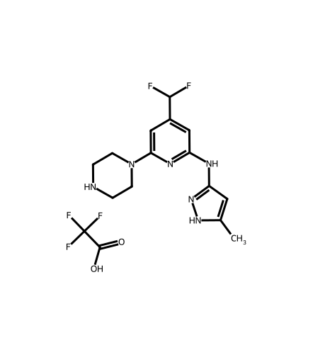 Cc1cc(Nc2cc(C(F)F)cc(N3CCNCC3)n2)n[nH]1.O=C(O)C(F)(F)F